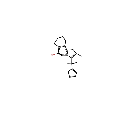 CC1=C(C(C)(C)C2=CC=CC2)c2cc(Br)c3c(c2C1)CCCC3